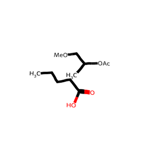 CCCCC(=O)O.COCC(C)OC(C)=O